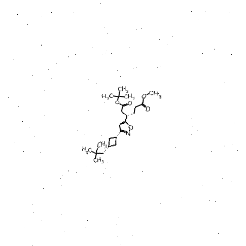 COC(=O)CC[C@@H](CC(=O)OC(C)(C)C)c1cc([C@H]2C[C@@H](CC(C)(C)C)C2)no1